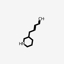 [CH]=CC=CCC1CCCNC1